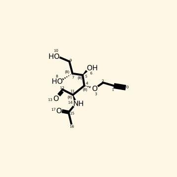 C#CCO[C@@H]([C@H](O)[C@H](O)CO)[C@H](C=O)NC(C)=O